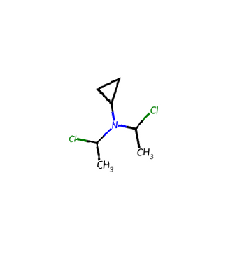 CC(Cl)N(C(C)Cl)C1CC1